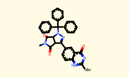 CCCCc1nc(=O)c2cc(C3=NN(C(c4ccccc4)(c4ccccc4)c4ccccc4)C4C(=O)N(C)C(=O)C34)ccc2[nH]1